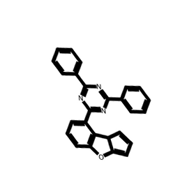 C1=CC2C(=C1)Oc1cccc(-c3nc(-c4ccccc4)nc(-c4ccccc4)n3)c12